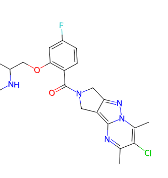 CNC(C)COc1cc(F)ccc1C(=O)N1Cc2nn3c(C)c(Cl)c(C)nc3c2C1